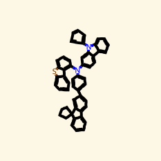 c1ccc(-n2c3ccccc3c3ccc(N(c4ccc(-c5ccc6c(c5)C5(CCCC5)c5ccccc5-6)cc4)c4cccc5sc6ccccc6c45)cc32)cc1